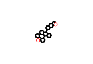 c1ccc2c(c1)oc1cccc(-c3c4ccccc4c(-c4ccc5cc6ccoc6cc5c4)c4ccccc34)c12